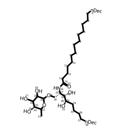 CCCCCCCCCCCCCCCCCCCCCCCC(=O)N[C@@H](COC1OC(C)[C@@H](O)C(O)C1O)[C@H](O)[C@H](O)CCCCCCCCCCCCCC